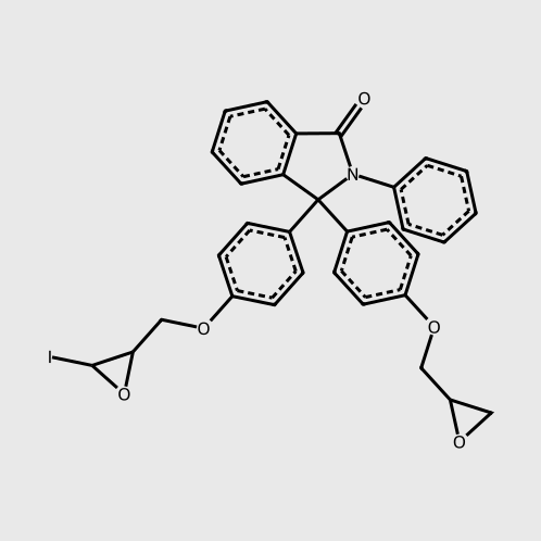 O=C1c2ccccc2C(c2ccc(OCC3CO3)cc2)(c2ccc(OCC3OC3I)cc2)N1c1ccccc1